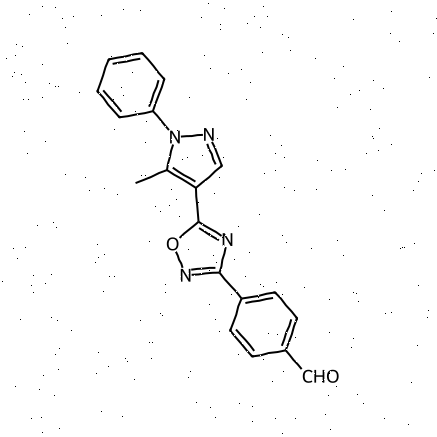 Cc1c(-c2nc(-c3ccc(C=O)cc3)no2)cnn1-c1ccccc1